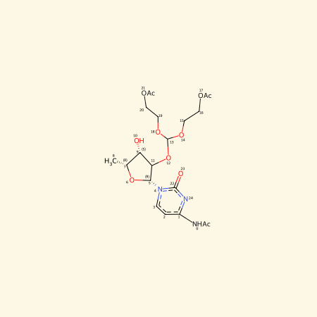 CC(=O)Nc1ccn([C@@H]2O[C@H](C)[C@H](O)C2OC(OCCOC(C)=O)OCCOC(C)=O)c(=O)n1